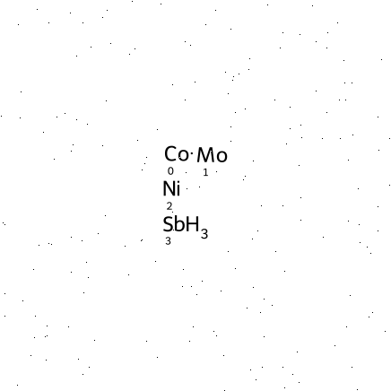 [Co].[Mo].[Ni].[SbH3]